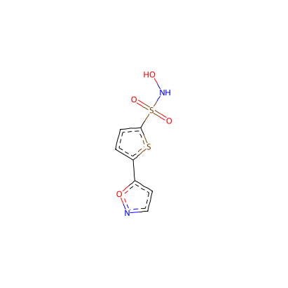 O=S(=O)(NO)c1ccc(-c2ccno2)s1